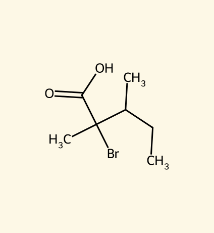 CCC(C)C(C)(Br)C(=O)O